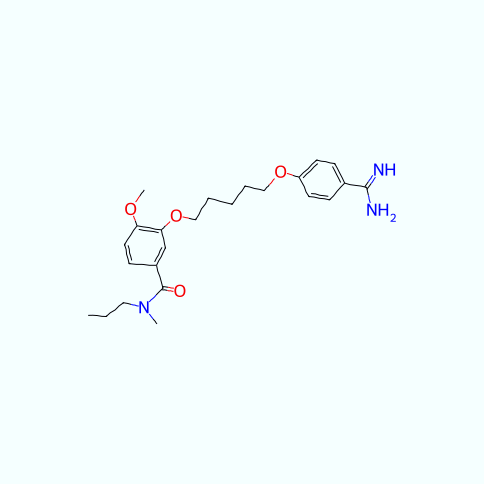 CCCN(C)C(=O)c1ccc(OC)c(OCCCCCOc2ccc(C(=N)N)cc2)c1